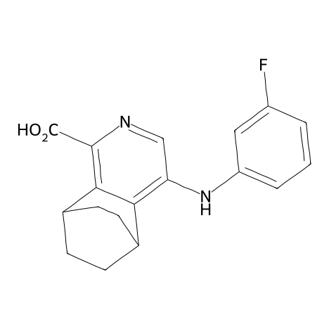 O=C(O)c1ncc(Nc2cccc(F)c2)c2c1C1CCC2CC1